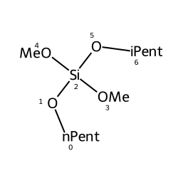 CCCCCO[Si](OC)(OC)OC(C)CCC